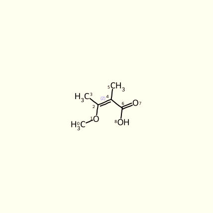 CO/C(C)=C(/C)C(=O)O